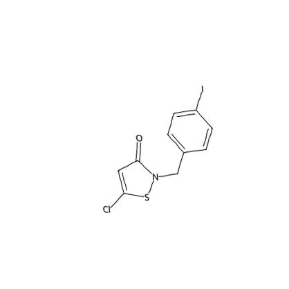 O=c1cc(Cl)sn1Cc1ccc(I)cc1